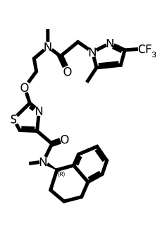 Cc1cc(C(F)(F)F)nn1CC(=O)N(C)CCOc1nc(C(=O)N(C)[C@@H]2CCCc3ccccc32)cs1